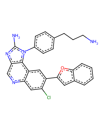 NCCCc1ccc(-n2c(N)nc3cnc4cc(Cl)c(-c5cc6ccccc6o5)cc4c32)cc1